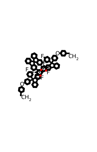 C=Cc1ccc(Oc2ccc(C3(c4ccc(F)cc4)c4ccccc4-c4ccc(N(c5cc(F)c(F)c(F)c5)c5ccc6c(c5)C5(c7ccccc7-6)c6ccccc6-c6ccc(N(c7cc(F)c(F)c(F)c7)c7ccc8c(c7)C(c7ccc(F)cc7)(c7ccc(Oc9ccc(C=C)cc9)cc7)c7ccccc7-8)cc65)cc43)cc2)cc1